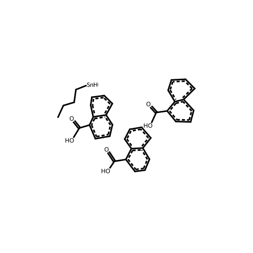 CCC[CH2][SnH].O=C(O)c1cccc2ccccc12.O=C(O)c1cccc2ccccc12.O=C(O)c1cccc2ccccc12